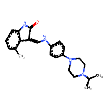 Cc1cccc2c1C(=CNc1ccc(N3CCN(C(C)C)CC3)cc1)C(=O)N2